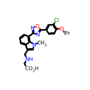 CC(C)Oc1ccc(-c2nc(-c3cccc4c(CNCC(=O)O)cn(C)c34)no2)cc1Cl